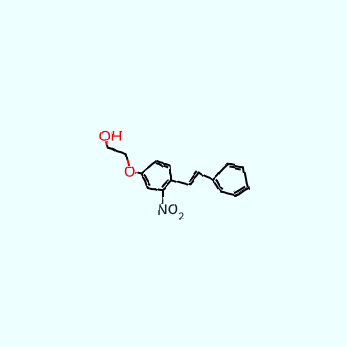 O=[N+]([O-])c1cc(OCCO)ccc1C=Cc1ccccc1